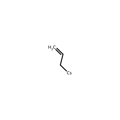 C=C[CH2][Cs]